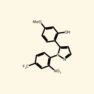 COc1ccc(-c2ccnn2-c2ccc(C(F)(F)F)cc2[N+](=O)[O-])c(O)c1